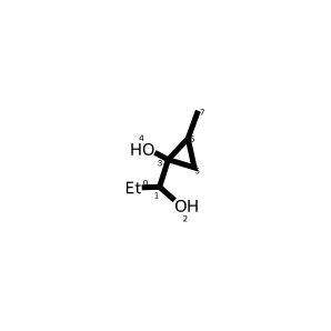 CCC(O)C1(O)CC1C